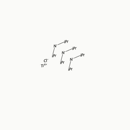 CC(C)[N-]C(C)C.CC(C)[N-]C(C)C.CC(C)[N-]C(C)C.[Cl-].[Ti+4]